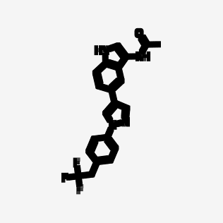 CC(=O)Nc1c[nH]c2ccc(-c3cnn(-c4ccc(CC(F)(F)F)cc4)c3)cc12